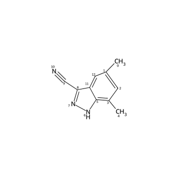 Cc1cc(C)c2[nH]nc(C#N)c2c1